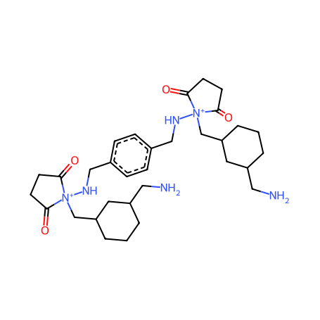 NCC1CCCC(C[N+]2(NCc3ccc(CN[N+]4(CC5CCCC(CN)C5)C(=O)CCC4=O)cc3)C(=O)CCC2=O)C1